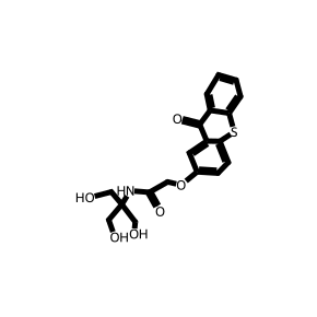 O=C(COc1ccc2sc3ccccc3c(=O)c2c1)NC(CO)(CO)CO